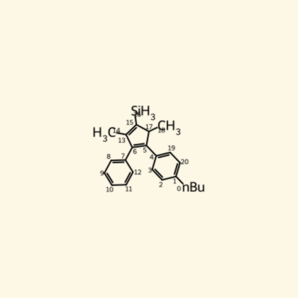 CCCCc1ccc(C2=C(c3ccccc3)C(C)=C([SiH3])C2C)cc1